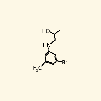 CC(O)CNc1cc(Br)cc(C(F)(F)F)c1